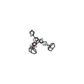 c1csc(-c2ccc(CNC34CC5CC(C3)C(c3ccc(-c6csc(CNC78CC9CC(CC(C9)C7)C8)c6)s3)C(C5)C4)o2)c1